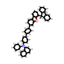 CC1(c2cccc3c2oc2cc(-c4ccc(-c5ccc(N(c6ccccc6)c6cccc7ccccc67)cc5)cc4)ccc23)c2ccccc2-c2ccccc21